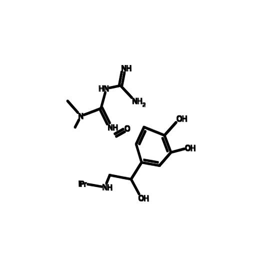 C=O.CC(C)NCC(O)c1ccc(O)c(O)c1.CN(C)C(=N)NC(=N)N